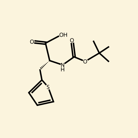 CC(C)(C)OC(=O)N[C@H](Cc1cccs1)C(=O)O